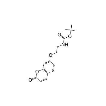 CC(C)(C)OC(=O)NCCOc1ccc2ccc(=O)oc2c1